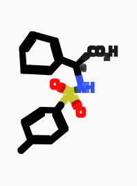 Cc1ccc(S(=O)(=O)N[C@H](C(=O)O)c2ccccc2)cc1